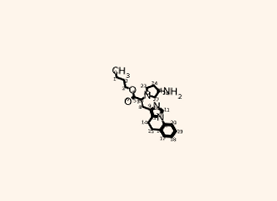 CCCCOC(=O)[C@H](Cc1ncn2c1CCc1ccccc1-2)N1CC[C@H](N)C1